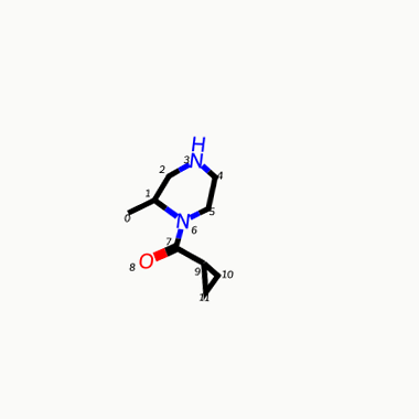 CC1CNCCN1C(=O)C1CC1